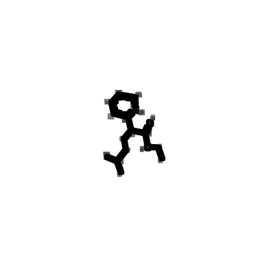 CCOC(=O)C(CCC(C)C)c1ccccn1